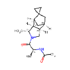 CC(C)(C)[C@H](NC(=O)C(F)(F)F)C(=O)N1C[C@@H]2[C@H]3C[C@@H]([C@@H]2[C@H]1C(=O)O)C1(CC1)C3